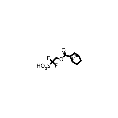 O=C(OCC(F)(F)S(=O)(=O)O)C1CC2CCC1O2